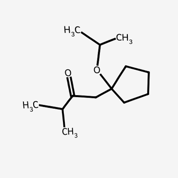 CC(C)OC1(CC(=O)C(C)C)CCCC1